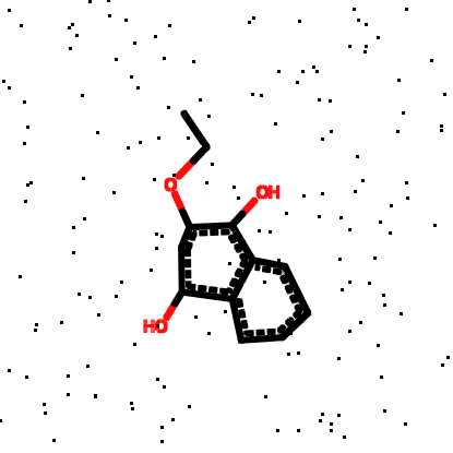 CCOc1cc(O)c2ccccc2c1O